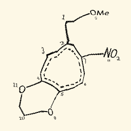 COCc1cc2c(cc1[N+](=O)[O-])OCO2